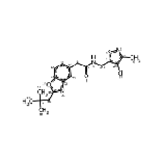 Cc1nsc(SNC(=O)Cc2ccc3oc(CC(C)(C)C)nc3c2)c1Cl